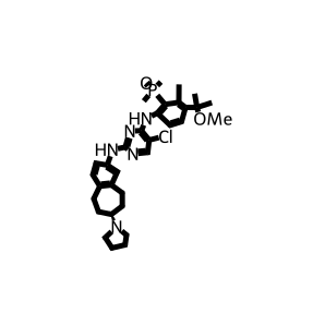 COC(C)(C)c1ccc(Nc2nc(Nc3ccc4c(c3)CC[C@@H](N3CCCC3)CC4)ncc2Cl)c(P(C)(C)=O)c1C